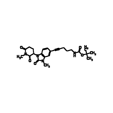 CN1C(=O)CCC(n2c(=O)n(C)c3cc(C#CCCCNC(=O)OC(C)(C)C)ccc32)C1=O